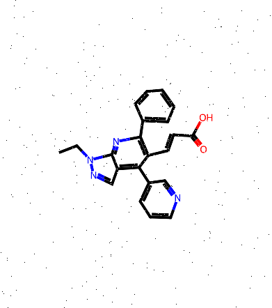 CCn1ncc2c(-c3cccnc3)c(C=CC(=O)O)c(-c3ccccc3)nc21